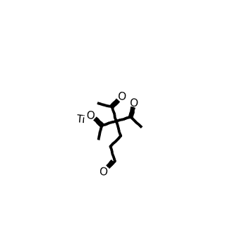 CC(=O)C(CCC=O)(C(C)=O)C(C)=O.[Ti]